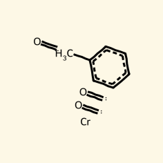 Cc1ccccc1.[C]=O.[C]=O.[C]=O.[Cr]